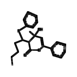 CCCCC(Sc1ccccc1)C1C(=O)OC(c2ccccc2)=CC1(C)O